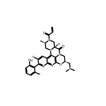 C=CC(=O)N1C[C@@H]2C(=O)N3C[C@@H](CN(C)C)Oc4nc5nc(-c6c(O)cccc6F)c(F)cc5c(c43)N2C[C@H]1C